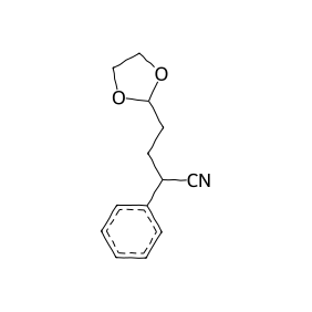 N#CC(CCC1OCCO1)c1ccccc1